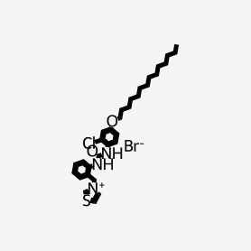 CCCCCCCCCCCCCCOc1ccc(NC(=O)Nc2ccccc2C[n+]2ccsc2)c(Cl)c1.[Br-]